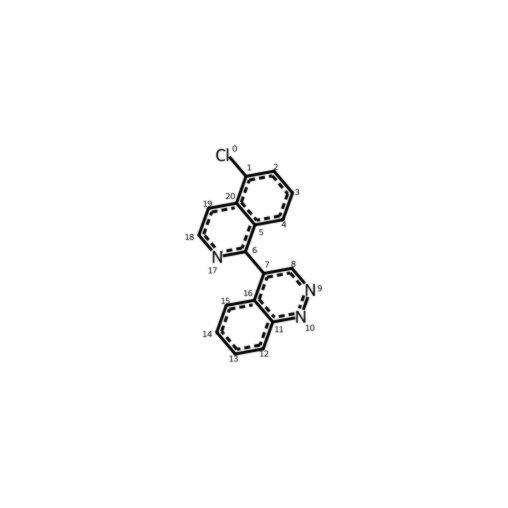 Clc1cccc2c(-c3cnnc4ccccc34)nccc12